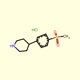 CS(=O)(=O)c1ccc(C2CCNCC2)cc1.Cl